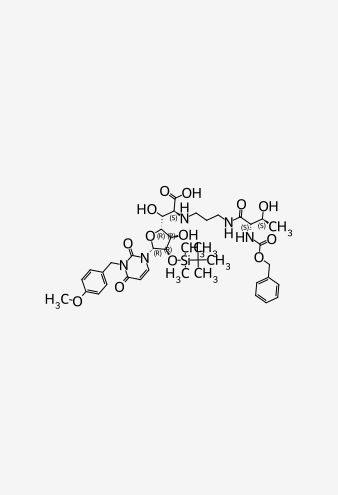 COc1ccc(Cn2c(=O)ccn([C@@H]3O[C@H](C(O)[C@H](NCCCNC(=O)[C@@H](NC(=O)OCc4ccccc4)[C@H](C)O)C(=O)O)[C@@H](O)[C@H]3O[Si](C)(C)C(C)(C)C)c2=O)cc1